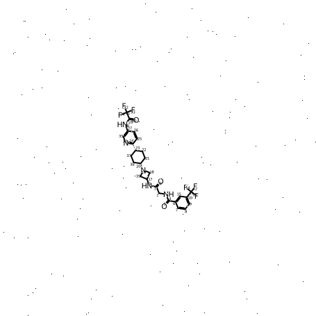 O=C(CNC(=O)c1cccc(C(F)(F)F)c1)NC1CN([C@H]2CC[C@@H](c3ccc(NC(=O)C(F)(F)F)cn3)CC2)C1